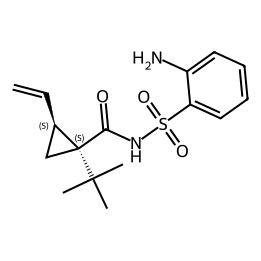 C=C[C@@H]1C[C@@]1(C(=O)NS(=O)(=O)c1ccccc1N)C(C)(C)C